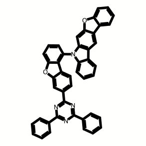 c1ccc(-c2nc(-c3ccccc3)nc(-c3ccc4c(c3)oc3cccc(-n5c6ccccc6c6cc7c(cc65)oc5ccccc57)c34)n2)cc1